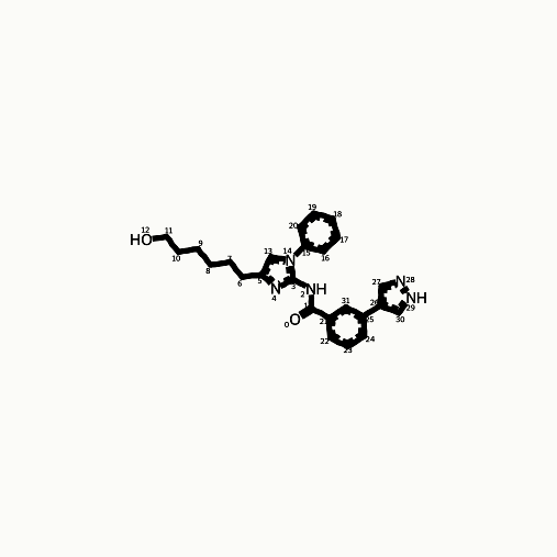 O=C(Nc1nc(CCCCCCO)cn1-c1ccccc1)c1cccc(-c2cn[nH]c2)c1